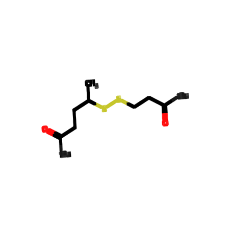 CC(CCC(=O)C(C)(C)C)SSCCC(=O)C(C)(C)C